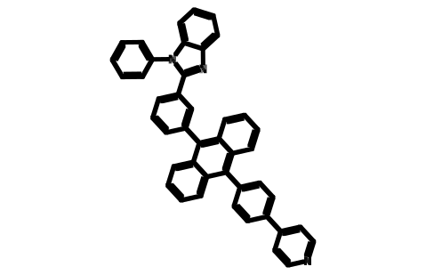 c1ccc(-n2c(-c3cccc(-c4c5ccccc5c(-c5ccc(-c6ccncc6)cc5)c5ccccc45)c3)nc3ccccc32)cc1